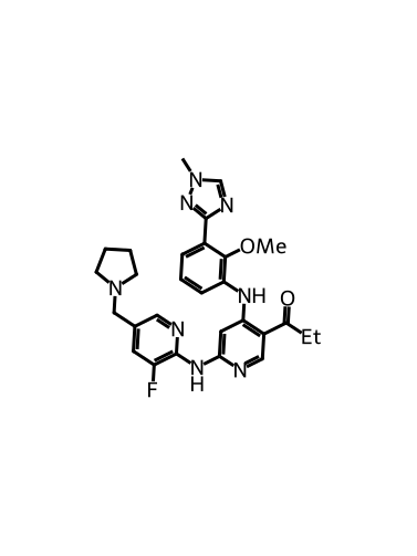 CCC(=O)c1cnc(Nc2ncc(CN3CCCC3)cc2F)cc1Nc1cccc(-c2ncn(C)n2)c1OC